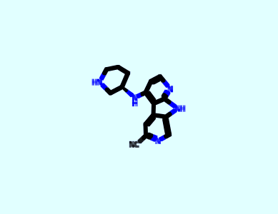 N#Cc1cc2c(cn1)[nH]c1nccc(N[C@@H]3CCCNC3)c12